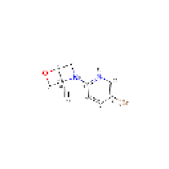 Brc1ccc(N2CC3OC[C@@H]32)nc1